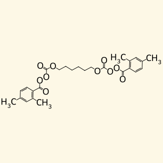 Cc1ccc(C(=O)OOC(=O)OCCCCCCOC(=O)OOC(=O)c2ccc(C)cc2C)c(C)c1